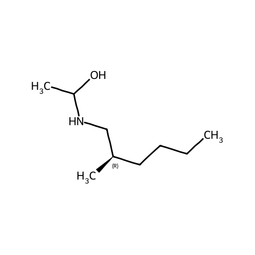 CCCC[C@@H](C)CNC(C)O